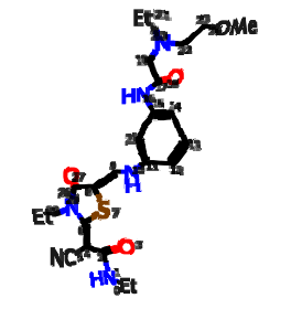 CCNC(=O)C(C#N)=c1sc(=CNc2cccc(NC(=O)CN(CC)CCOC)c2)c(=O)n1CC